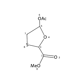 COC(=O)C1OC(OC(C)=O)CS1